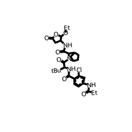 CCOC1OC(=O)CC1NC(=O)C1C2CCC(C2)N1C(=O)C(NC(=O)c1ccc(NC(=O)CC)cc1Cl)C(C)(C)C